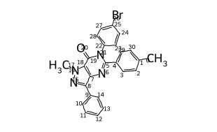 Cc1ccc(-c2nc3c(-c4ccccc4)nn(C)c3c(=O)n2-c2ccc(Br)cc2)cc1